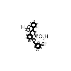 Cc1ccccc1C(CCC(=O)O)C(=O)c1cccc(OCc2cccc(Cl)c2)c1